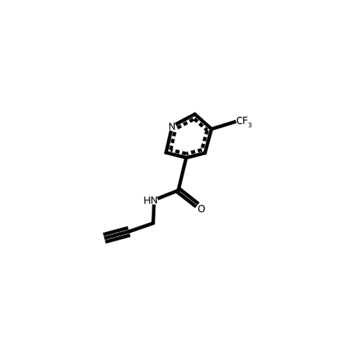 C#CCNC(=O)c1cncc(C(F)(F)F)c1